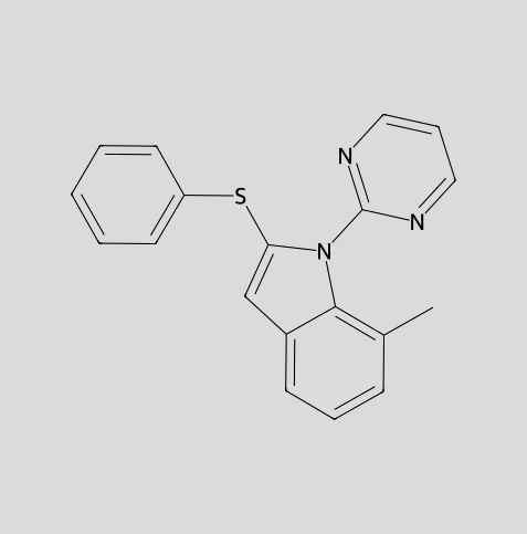 Cc1cccc2cc(Sc3ccccc3)n(-c3ncccn3)c12